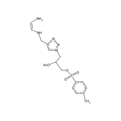 CC(=O)OC(COS(=O)(=O)c1ccc(C)cc1)Cn1cc(CN/C=C\N)nn1